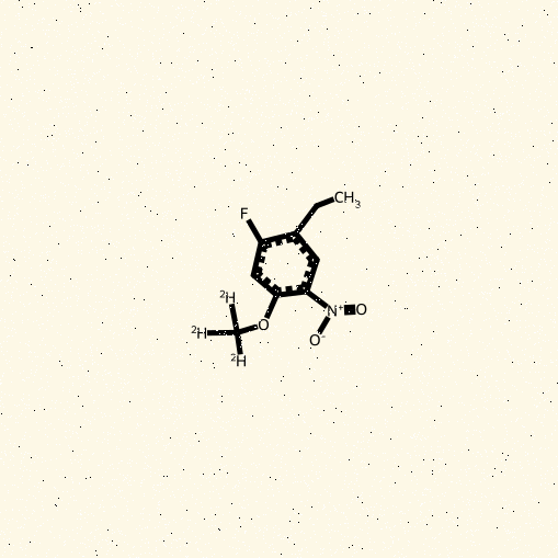 [2H]C([2H])([2H])Oc1cc(F)c(CC)cc1[N+](=O)[O-]